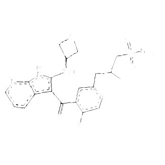 NS(=O)(=O)CC(F)Cc1ccc(F)c(C(=O)c2c(NC3COC3)[nH]c3ncccc23)c1